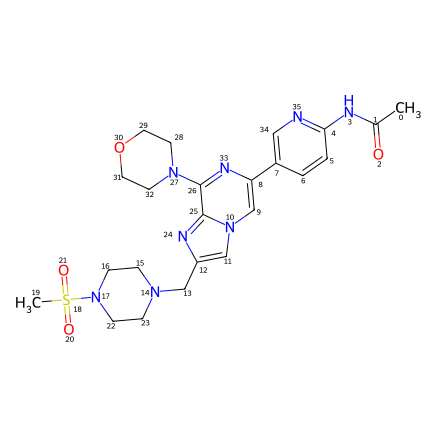 CC(=O)Nc1ccc(-c2cn3cc(CN4CCN(S(C)(=O)=O)CC4)nc3c(N3CCOCC3)n2)cn1